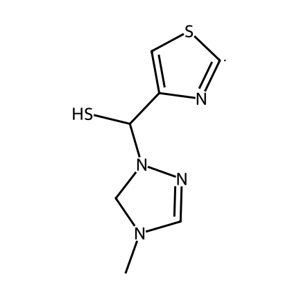 CN1C=NN(C(S)c2cs[c]n2)C1